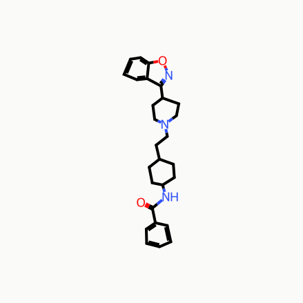 O=C(NC1CCC(CCN2CCC(c3noc4ccccc34)CC2)CC1)c1ccccc1